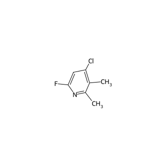 Cc1nc(F)cc(Cl)c1C